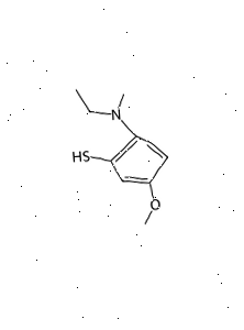 CCN(C)c1ccc(OC)cc1S